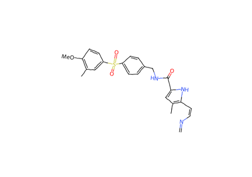 C=N/C=C\c1[nH]c(C(=O)NCc2ccc(S(=O)(=O)c3ccc(OC)c(C)c3)cc2)cc1C